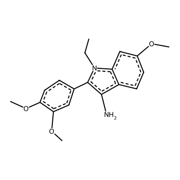 CCn1c(-c2ccc(OC)c(OC)c2)c(N)c2ccc(OC)cc21